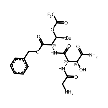 CC(C)(C)C(OC(=O)C(F)(F)F)[C@H](NC(=O)[C@@H](NC(=O)CN)[C@H](O)C(N)=O)C(=O)OCc1ccccc1